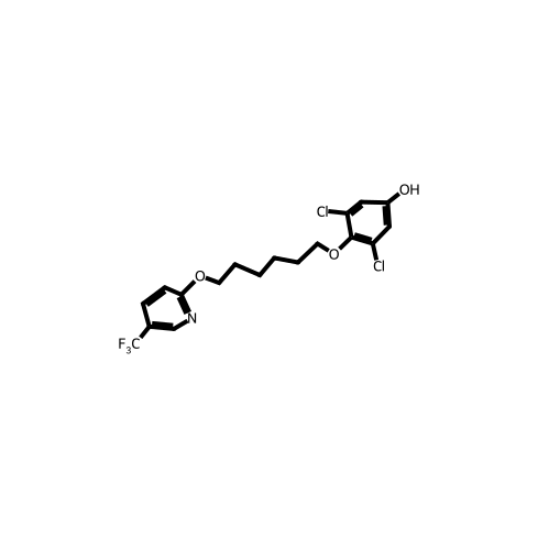 Oc1cc(Cl)c(OCCCCCCOc2ccc(C(F)(F)F)cn2)c(Cl)c1